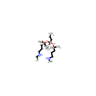 CCCNCCC[Si](C)(C)O[Si](C)(CCC(F)(F)F)O[Si](C)(C)CCCNCF